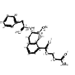 CC(C)(C)C(=O)OCOC(=O)c1cccc2c1OB(O)[C@@H](NC(=O)Cc1ccccc1)C2